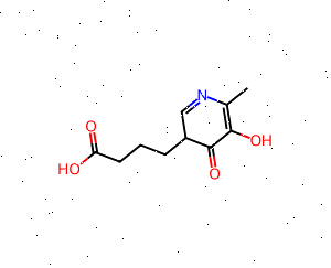 CC1=C(O)C(=O)C(CCCC(=O)O)C=N1